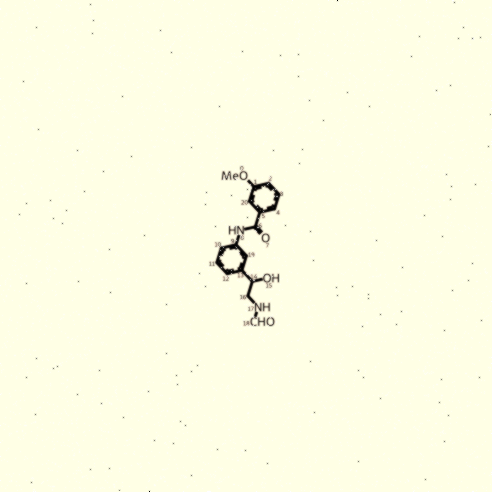 COc1cccc(C(=O)Nc2cccc(C(O)CNC=O)c2)c1